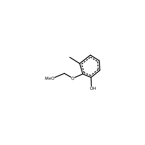 COCOc1c(C)cccc1O